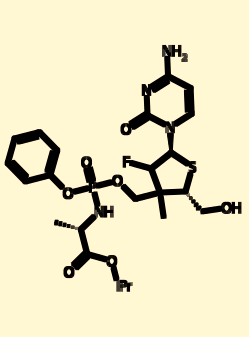 CC(C)OC(=O)[C@H](C)NP(=O)(OCC1(C)C(F)[C@@H](n2ccc(N)nc2=O)S[C@@H]1CO)Oc1ccccc1